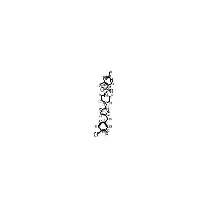 Cc1ncc(S(=O)(=O)N2CCN(c3nc(Cc4ccc(Cl)c(F)c4)cs3)CC2)c(C)n1